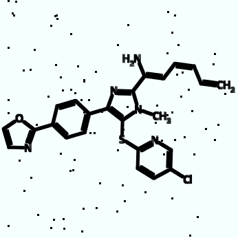 C=C/C=C\C=C(/N)c1nc(-c2ccc(-c3ncco3)cc2)c(Sc2ccc(Cl)cn2)n1C